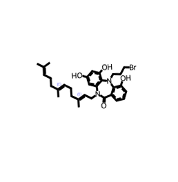 CC(C)=CCC/C(C)=C/CC/C(C)=C/CN1C(=O)c2cccc(O)c2N(CCCBr)c2c(O)cc(O)cc21